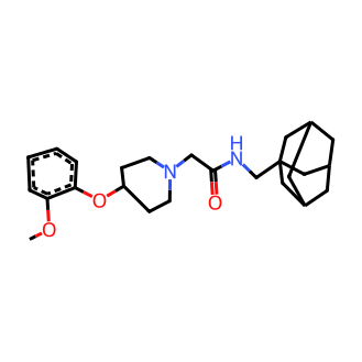 COc1ccccc1OC1CCN(CC(=O)NCC23CC4CC(CC(C4)C2)C3)CC1